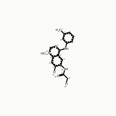 Cc1cccc(Nc2ncnc3cc(Cl)c(NC(=O)CCl)cc23)c1.Cl